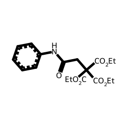 CCOC(=O)C(CC(=O)Nc1ccccc1)(C(=O)OCC)C(=O)OCC